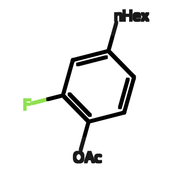 CCCCCCc1ccc(OC(C)=O)c(F)c1